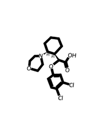 O=C(O)C(Oc1ccc(Cl)c(Cl)c1)[C@@H]1CCCC[C@H]1N1CCOCC1